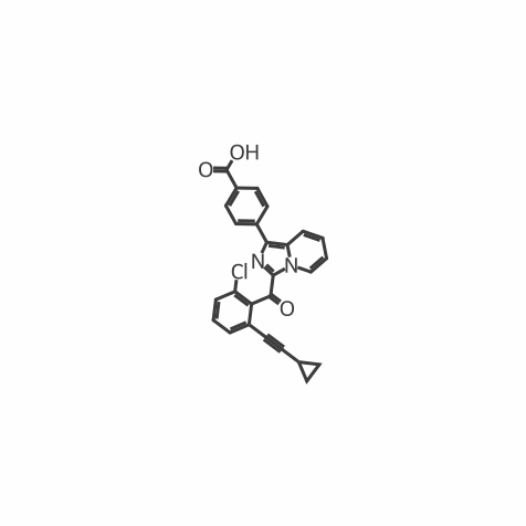 O=C(O)c1ccc(-c2nc(C(=O)c3c(Cl)cccc3C#CC3CC3)n3ccccc23)cc1